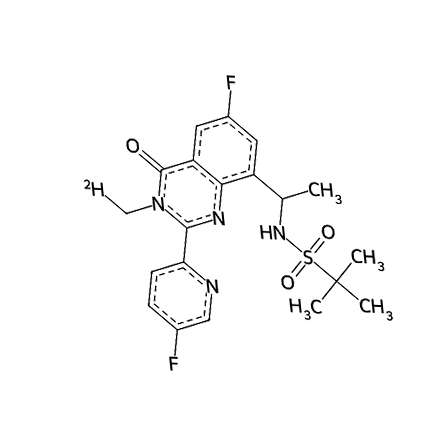 [2H]Cn1c(-c2ccc(F)cn2)nc2c(C(C)NS(=O)(=O)C(C)(C)C)cc(F)cc2c1=O